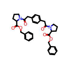 O=C(OCc1ccccc1)C1CCCN1C(=O)Cc1ccc(CC(=O)N2CCCC2C(=O)OCc2ccccc2)cc1